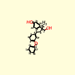 CC(CO)(CCc1cccc(Oc2ccccc2)c1)c1ccc(O)cc1